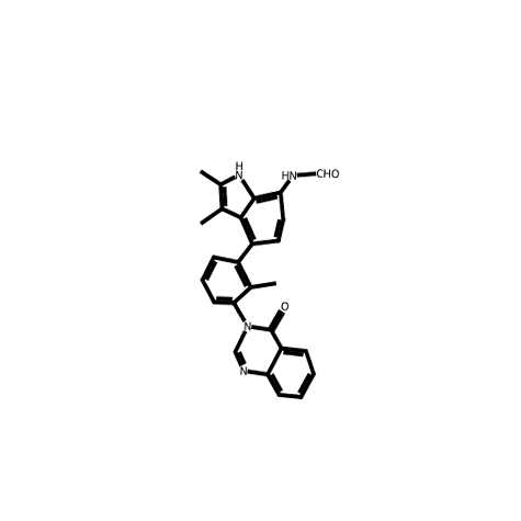 Cc1[nH]c2c(NC=O)ccc(-c3cccc(-n4cnc5ccccc5c4=O)c3C)c2c1C